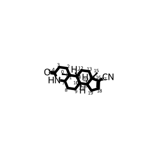 C[C@]12CCC(=O)NC1CC[C@@H]1[C@H]2CC[C@]2(C)C(C#N)=CC[C@@H]12